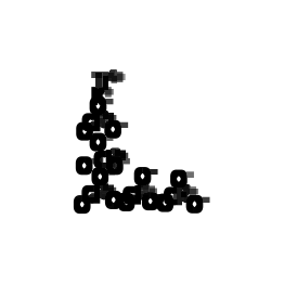 [K+].[O-][Cl+2]([O-])[O-].[O-][Cl+2]([O-])[O-].[O-][Cl+2]([O-])[O-].[O-][Cl+2]([O-])[O-].[O-][Cl+2]([O-])[O-].[Ti+4]